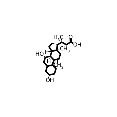 C[C@H](CC(=O)O)[C@H]1CC[C@H]2[C@@H]3[C@@H](O)CC4C[C@@H](O)CC[C@]4(C)[C@H]3CC[C@]12C